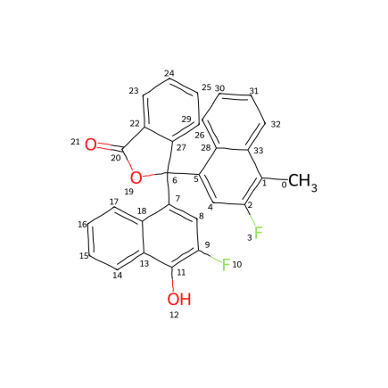 Cc1c(F)cc(C2(c3cc(F)c(O)c4ccccc34)OC(=O)c3ccccc32)c2ccccc12